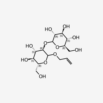 C=CCOC1O[C@H](CO)[C@@H](O)[C@H](O)[C@H]1OC1O[C@H](CO)[C@@H](O)[C@H](O)[C@H]1O